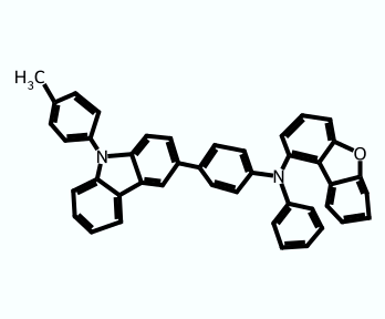 Cc1ccc(-n2c3ccccc3c3cc(-c4ccc(N(c5ccccc5)c5cccc6oc7ccccc7c56)cc4)ccc32)cc1